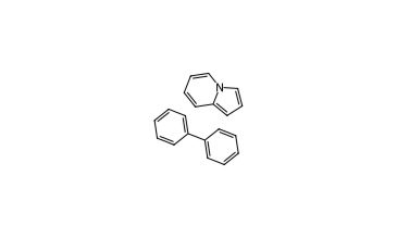 c1ccc(-c2ccccc2)cc1.c1ccn2cccc2c1